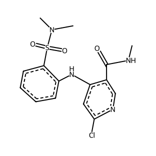 CNC(=O)c1cnc(Cl)cc1Nc1ccccc1S(=O)(=O)N(C)C